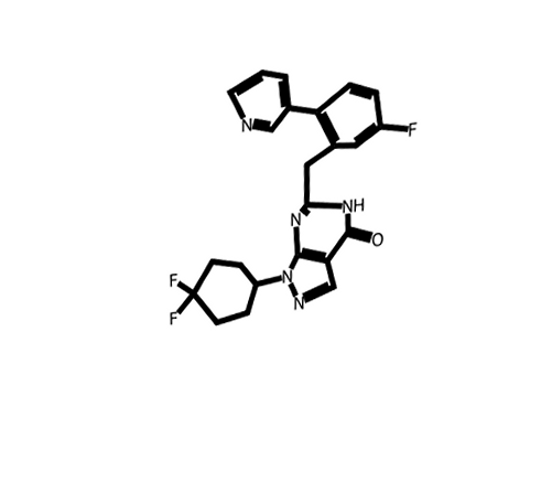 O=c1[nH]c(Cc2cc(F)ccc2-c2cccnc2)nc2c1cnn2C1CCC(F)(F)CC1